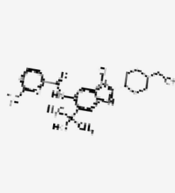 Cn1c2cc(NC(=O)c3cccc(C(F)(F)F)n3)c(C(C)(C)O)cc2nc1[C@H]1CC[C@H](CO)CC1